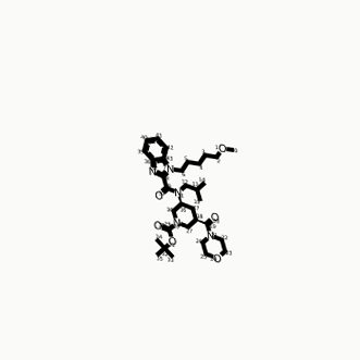 COCCCCCn1c(C(=O)N(CC(C)C)[C@H]2C[C@@H](C(=O)N3CCOCC3)CN(C(=O)OC(C)(C)C)C2)nc2ccccc21